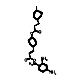 Cc1ccc(CCC(=O)Oc2ccc(/C=C/C(=O)O[SiH2]c3ccc(N)cc3N)cc2)cc1